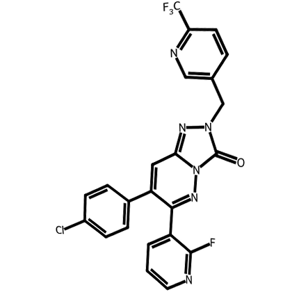 O=c1n(Cc2ccc(C(F)(F)F)nc2)nc2cc(-c3ccc(Cl)cc3)c(-c3cccnc3F)nn12